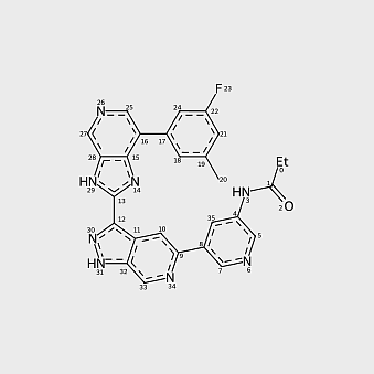 CCC(=O)Nc1cncc(-c2cc3c(-c4nc5c(-c6cc(C)cc(F)c6)cncc5[nH]4)n[nH]c3cn2)c1